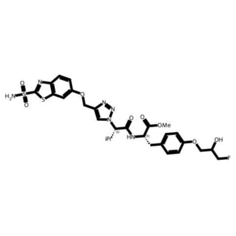 COC(=O)[C@H](Cc1ccc(OCC(O)CF)cc1)NC(=O)[C@H](C(C)C)n1cc(COc2ccc3nc(S(N)(=O)=O)sc3c2)nn1